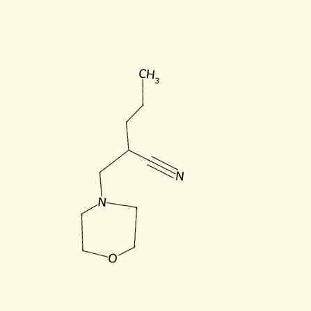 CCCC(C#N)CN1CCOCC1